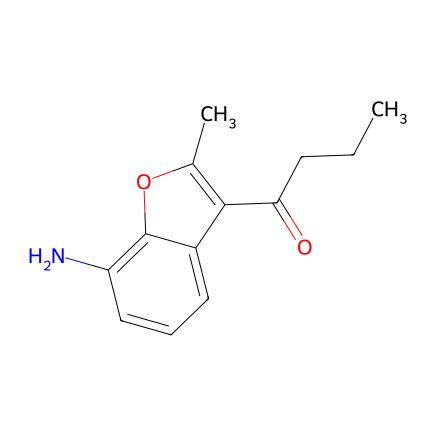 CCCC(=O)c1c(C)oc2c(N)cccc12